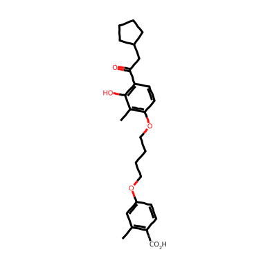 Cc1cc(OCCCCOc2ccc(C(=O)CC3CCCC3)c(O)c2C)ccc1C(=O)O